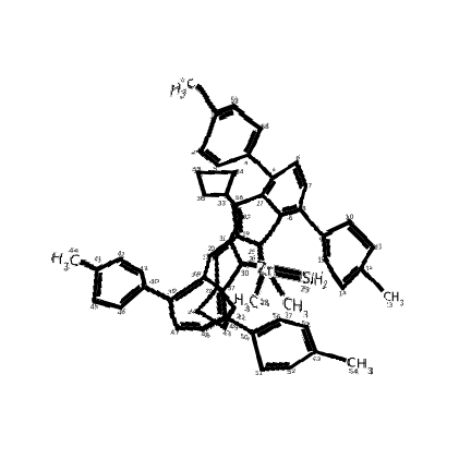 Cc1ccc(-c2ccc(-c3ccc(C)cc3)c3c2C=C(CC2CCC2)[CH]3[Zr]([CH3])([CH3])(=[SiH2])[CH]2C(CC3CCC3)=Cc3c(-c4ccc(C)cc4)ccc(-c4ccc(C)cc4)c32)cc1